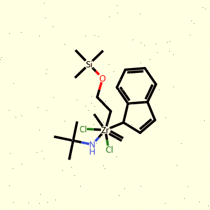 [CH2]=[Zr]([CH3])([Cl])([Cl])([CH2]CO[Si](C)(C)C)([NH]C(C)(C)C)[CH]1C=Cc2ccccc21